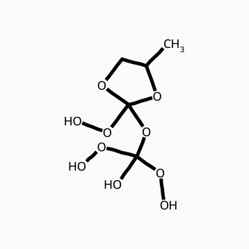 CC1COC(OO)(OC(O)(OO)OO)O1